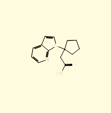 NC(=O)CC1(n2ccc3cccnc32)CCCC1